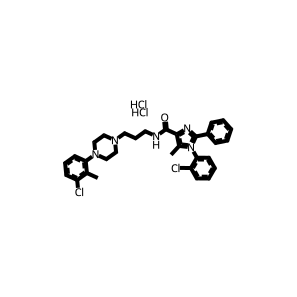 Cc1c(Cl)cccc1N1CCN(CCCNC(=O)c2nc(-c3ccccc3)n(-c3ccccc3Cl)c2C)CC1.Cl.Cl